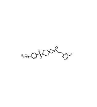 COc1ccc(S(=O)(=O)N2CCC3(CC2)CN(C(=O)CCc2cccc(F)c2)C3)cc1